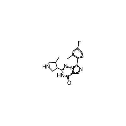 Cc1cc(F)ccc1-c1ncc2c(=O)[nH]c(C3CNCC3C)nn12